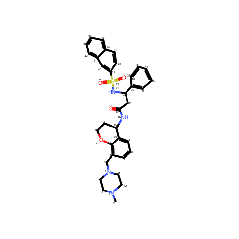 CN1CCN(Cc2cccc3c2OCCC3NC(=O)CC(NS(=O)(=O)c2ccc3ccccc3c2)c2ccccc2)CC1